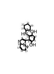 Oc1ccc(O)c(-c2cnc3cccnn23)c1NC1CCCCC1